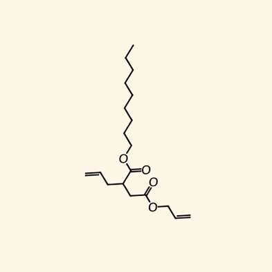 C=CCOC(=O)CC(CC=C)C(=O)OCCCCCCCCC